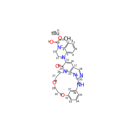 Cc1cccc2c1N(C(=O)OC(C)(C)C)CCN2c1cc2cnc3nc2n(c1=O)CCOCCOc1cccc(c1)N3